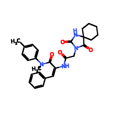 Cc1ccc(N(C)C(=O)/C(=C\c2ccccc2)NC(=O)CN2C(=O)NC3(CCCCC3)C2=O)cc1